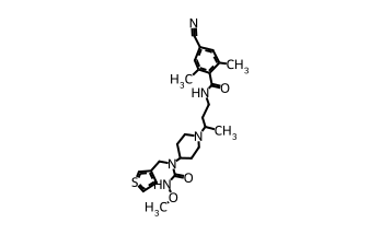 CONC(=O)N(Cc1ccsc1)C1CCN(C(C)CCNC(=O)c2c(C)cc(C#N)cc2C)CC1